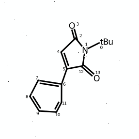 CC(C)(C)N1C(=O)C=C(c2ccccc2)C1=O